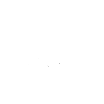 c1cnc2cc(Nc3cc(NC4CCC4)c(-c4nncs4)cn3)ccc2n1